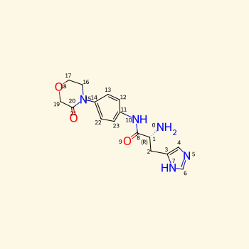 N[C@H](Cc1cnc[nH]1)C(=O)Nc1ccc(N2CCOCC2=O)cc1